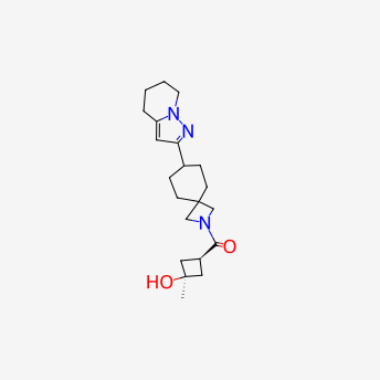 C[C@]1(O)C[C@@H](C(=O)N2CC3(CCC(c4cc5n(n4)CCCC5)CC3)C2)C1